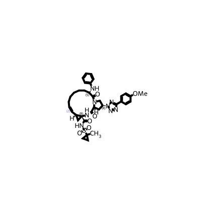 COc1ccc(-c2nnn([C@@H]3C[C@H]4C(=O)N[C@]5(C(=O)NS(=O)(=O)C6(C)CC6)C[C@H]5/C=C\CCCCC[C@H](Nc5ccccc5)C(=O)N4C3)n2)cc1